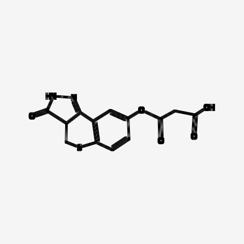 O=C(O)CC(=O)Oc1ccc2c(c1)C1=NNC(=O)C1CS2